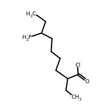 CCC(P)CCCCC(CC)C(=O)Cl